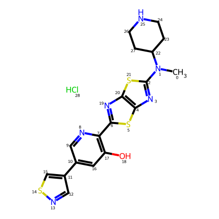 CN(c1nc2sc(-c3ncc(-c4cnsc4)cc3O)nc2s1)C1CCNCC1.Cl